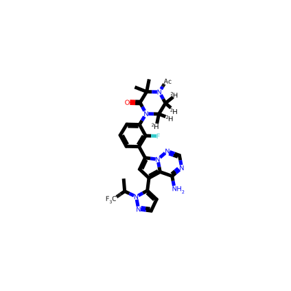 [2H]C1([2H])N(c2cccc(-c3cc(-c4ccnn4C(C)C(F)(F)F)c4c(N)ncnn34)c2F)C(=O)C(C)(C)N(C(C)=O)C1([2H])[2H]